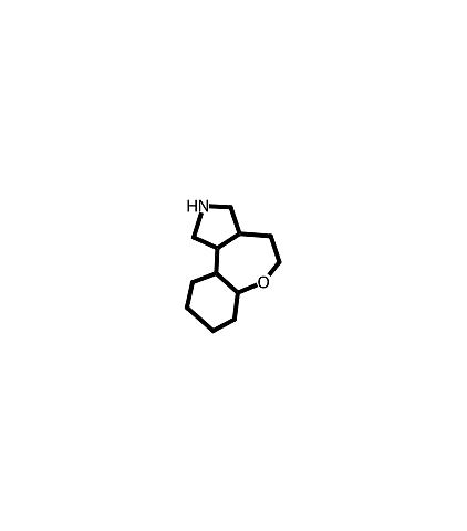 C1CCC2C(C1)OCCC1CNCC12